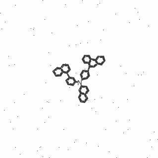 c1cc(-c2cccc3ccccc23)cc(N(c2ccc(-c3cc4ccccc4c4ccccc34)cc2)c2ccc3ccccc3c2)c1